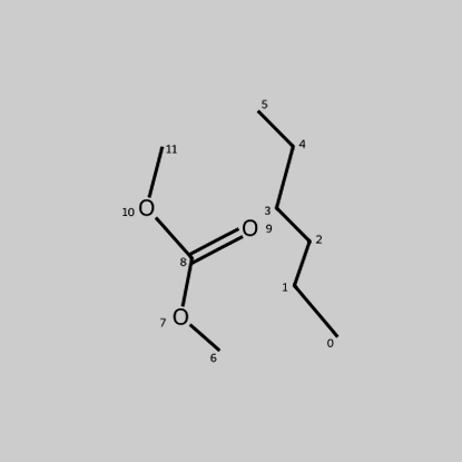 CCCCCC.COC(=O)OC